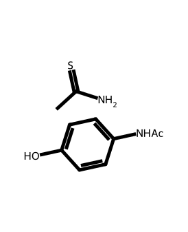 CC(=O)Nc1ccc(O)cc1.CC(N)=S